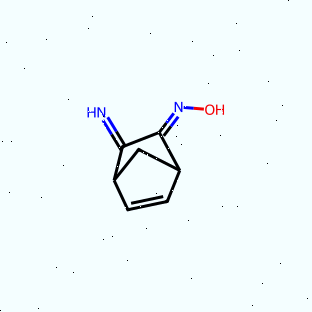 N=C1/C(=N/O)C2C=CC1C2